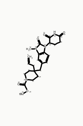 C=CCC1(Cc2ccc3c(c2)n(C)c(=O)n3C2CCC(=O)NC2=O)CCN(C(=O)OC(C)(C)C)CC1